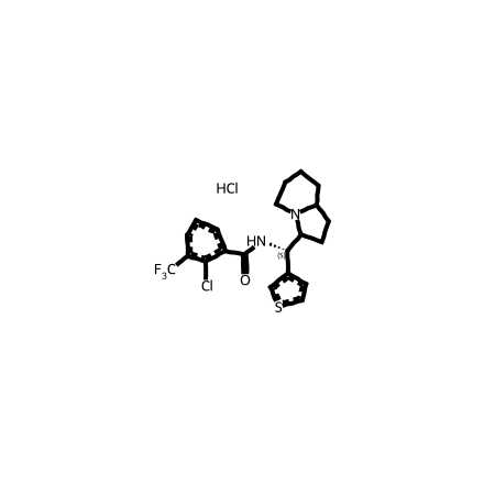 Cl.O=C(N[C@@H](c1ccsc1)C1CCC2CCCCN21)c1cccc(C(F)(F)F)c1Cl